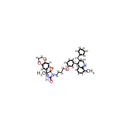 Cc1cccc2c(-c3cccc(OCCCCN4C(=O)NC(C)(c5ccc6c(c5)OCCO6)C4=O)c3)c(Cc3ccccc3)cnc12